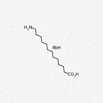 NCCCCCCCCCCCCC(=O)O.[RbH]